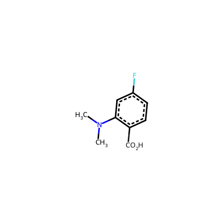 CN(C)c1cc(F)ccc1C(=O)O